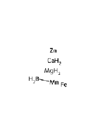 [BH2][Mn].[CaH2].[Fe].[MgH2].[Zn]